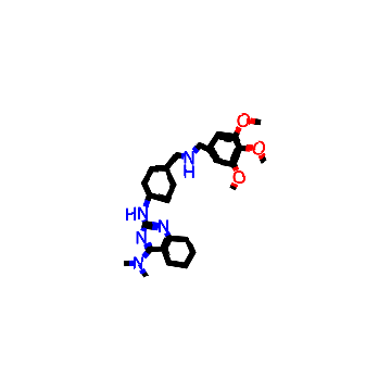 COc1cc(CNCC2CCC(Nc3nc4c(c(N(C)C)n3)CCCC4)CC2)cc(OC)c1OC